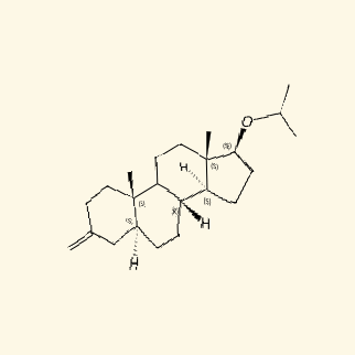 C=C1CC[C@]2(C)C3CC[C@]4(C)[C@@H](OC(C)C)CC[C@H]4[C@@H]3CC[C@H]2C1